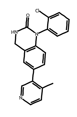 Cc1ccncc1-c1ccc2c(c1)CNC(=O)N2c1ccccc1Cl